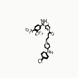 NN(c1ccc([N+](=O)[O-])c(C(F)(F)F)c1)[C@@H]1CCN(C(=O)CCCN2CCC(Nc3ccc(Cl)cc3)CC2)C1